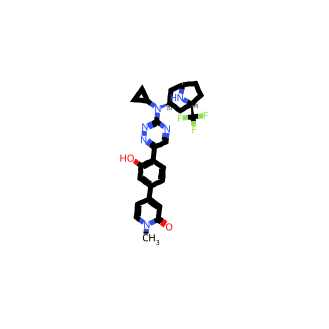 Cn1ccc(-c2ccc(-c3cnc(N(C4CC4)[C@H]4CC5CC[C@](C(F)(F)F)(C4)N5)nn3)c(O)c2)cc1=O